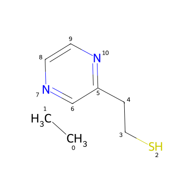 CC.SCCc1cnccn1